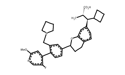 COc1cc(-c2ccc(C3CCc4ccc([C@H](C5CCC5)[C@H](C)C(=O)O)cc4O3)cc2CN2CCCC2)c(F)cn1